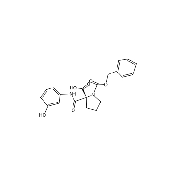 O=C(OCc1ccccc1)N1CCC[C@]1(C(=O)O)C(=O)Nc1cccc(O)c1